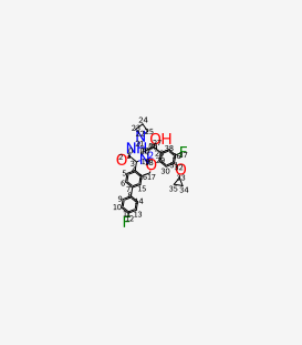 NC(=O)C1c2ccc(-c3ccc(F)cc3)cc2CON1[C@H](CN1CCC1)[C@H](O)c1ccc(OC2CC2)c(F)c1